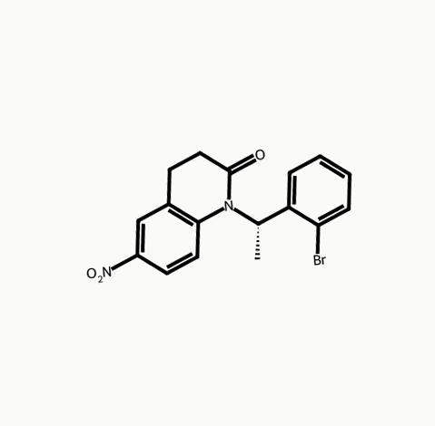 C[C@@H](c1ccccc1Br)N1C(=O)CCc2cc([N+](=O)[O-])ccc21